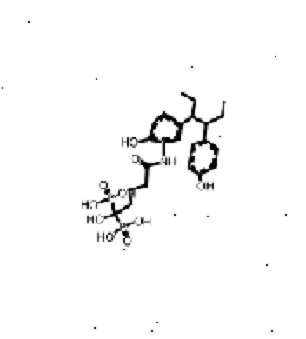 CCC(c1ccc(O)cc1)C(CC)c1ccc(O)c(NC(=O)CCCC(O)(P(=O)(O)O)P(=O)(O)O)c1